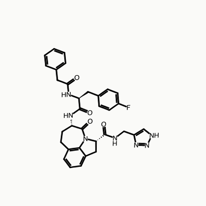 O=C(Cc1ccccc1)N[C@@H](Cc1ccc(F)cc1)C(=O)N[C@H]1CCc2cccc3c2N(C1=O)[C@H](C(=O)NCc1c[nH]nn1)C3